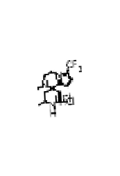 CC1CC2(CCN1)c1ccc(C(F)(F)F)n1CCN2C.Cl.Cl